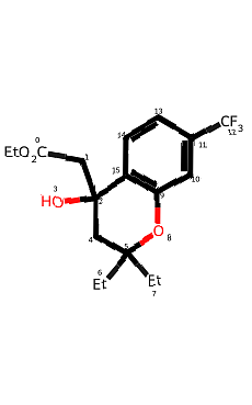 CCOC(=O)CC1(O)CC(CC)(CC)Oc2cc(C(F)(F)F)ccc21